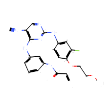 [C-]#[N+]c1cnc(Nc2ccc(OCCOC)c(F)c2)nc1Nc1cccc(NC(=O)C=C)c1